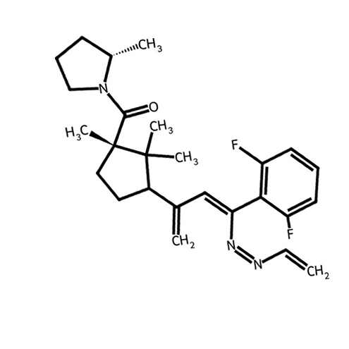 C=C/N=N\C(=C/C(=C)C1CC[C@](C)(C(=O)N2CCC[C@@H]2C)C1(C)C)c1c(F)cccc1F